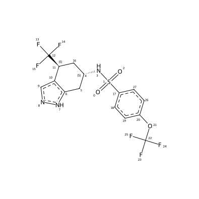 O=S(=O)(N[C@@H]1Cc2[nH]ncc2[C@@H](C(F)(F)F)C1)c1ccc(OC(F)(F)F)cc1